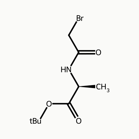 C[C@H](NC(=O)CBr)C(=O)OC(C)(C)C